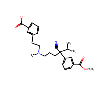 COC(=O)c1cccc(C(C#N)(CCCN(C)CCc2cccc(C(=O)O)c2)C(C)C)c1